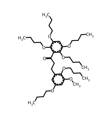 CCCCOc1cc(CCC(=O)c2c(OCCCC)c(OCCCC)cc(OCCCC)c2OCCCC)c(OCCCC)c(OC)c1